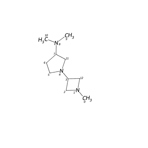 CN1CC(N2CCC(N(C)C)C2)C1